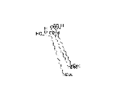 CCCCCCCCCCCCCCCCCCCCCCCCCCC(CC(O)CO)C(=O)O.CCCCCCCCCCCCCCCCCCCCCCCCCCCC(=O)O.CCCCCCCCCCCCCCCCCCCCCCCCCCCC(=O)O